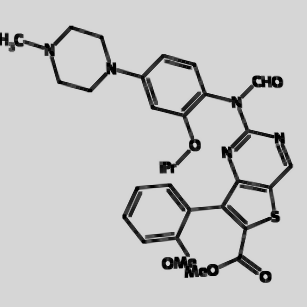 COC(=O)c1sc2cnc(N(C=O)c3ccc(N4CCN(C)CC4)cc3OC(C)C)nc2c1-c1ccccc1OC